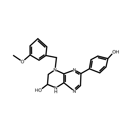 COc1cccc(CN2CC(O)Nc3ncc(-c4ccc(O)cc4)nc32)c1